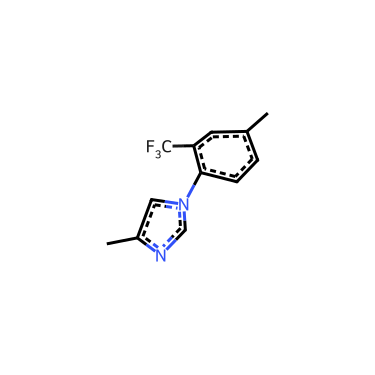 Cc1ccc(-n2cnc(C)c2)c(C(F)(F)F)c1